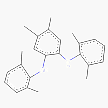 Cc1cc(Nc2c(C)cccc2C)c(Nc2c(C)cccc2C)cc1C